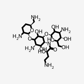 NCC[C@H](O)C(=O)N[C@@H]1C(O)[C@H](N)C(O[C@H]2O[C@H](CN)CCC2N)C(O)[C@H]1O[C@H]1OC(CO)[C@@H](O)[C@H](N)C1O